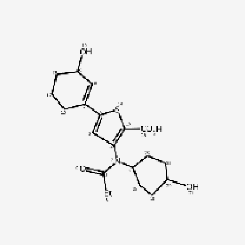 CCC(=O)N(c1cc(C2=CC(O)CCC2)sc1C(=O)O)C1CCC(O)CC1